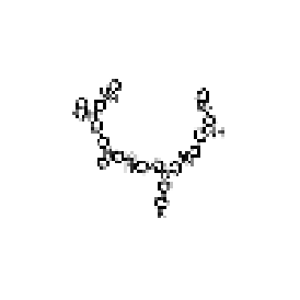 Brc1ccc(-c2ccc(-n3c4ccc(-c5nc6ccc(-c7ccc8c(c7)[nH]c7ccc(-c9nc%10ccccc%10o9)cc78)cc6o5)cc4c4ccc(-c5ccc6nc(-c7ccc8c(c7)c7ccccc7n8-c7ccc(-c8ccc(N(c9ccc(-c%10nc%11ccccc%11o%10)cc9)c9cccc%10ccccc9%10)cc8)cc7)oc6c5)cc43)cc2)cc1